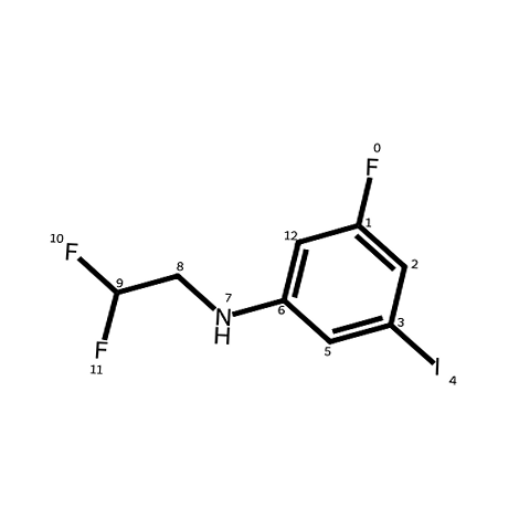 Fc1cc(I)cc(NCC(F)F)c1